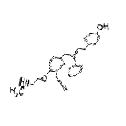 CNCCOc1ccc(CC(=CCc2ccc(O)cc2)c2ccccc2)cc1C#N